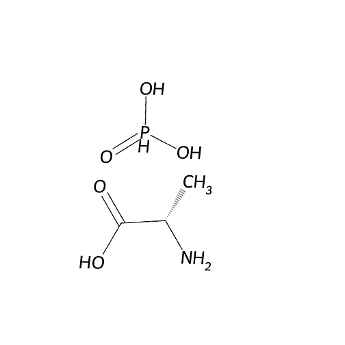 C[C@H](N)C(=O)O.O=[PH](O)O